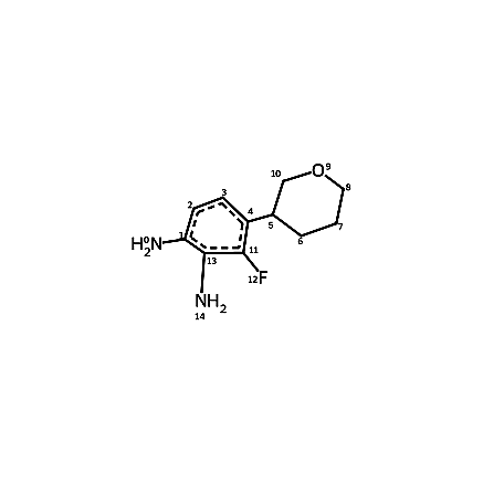 Nc1ccc(C2CCCOC2)c(F)c1N